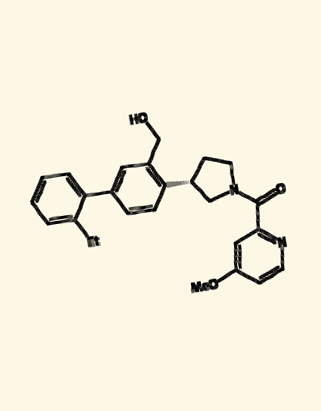 CCc1ccccc1-c1ccc([C@@H]2CCN(C(=O)c3cc(OC)ccn3)C2)c(CO)c1